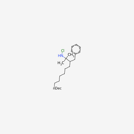 CCCCCCCCCCCCCCCCC(Cc1ccccc1)C(C)(C)NCl